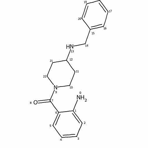 Nc1ccccc1C(=O)N1CCC(NCc2ccccc2)CC1